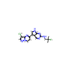 CC(C)(F)CNc1ncc2c(-c3ccn4ncc(Cl)c4n3)c[nH]c2n1